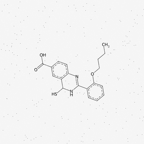 CCCCOc1ccccc1C1=Nc2ccc(C(=O)O)cc2C(S)N1